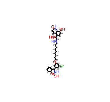 O=C(O)NC(c1ccccc1)c1cc(Br)cc(OCCCCCCCCCNCC(O)c2ccc(O)c3[nH]c(=O)ccc23)c1